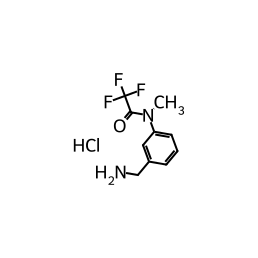 CN(C(=O)C(F)(F)F)c1cccc(CN)c1.Cl